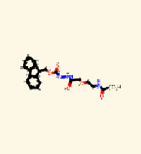 O=C(COCCNC(=O)C(=O)O)NNC(=O)OCC1c2ccccc2-c2ccccc21